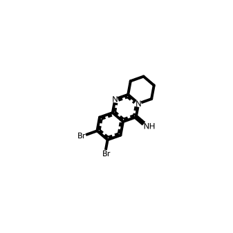 N=c1c2cc(Br)c(Br)cc2nc2n1CCCC2